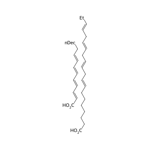 CCC=CCC=CCC=CCC=CCCCCCCC(=O)O.CCCCCCCCCCCC=CC=CC=CC=CC(=O)O